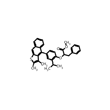 COC(=O)C(Cc1ccccc1)Oc1ccc(-c2c3ccccc3cc3sc(C)c(C)c23)cc1C(C)C